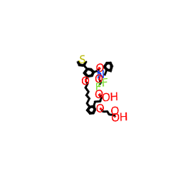 O=C(O)CCCOc1cccc(CCCCCCOc2cc(C(=O)N(Cc3ccccc3)OC(F)F)cc(-c3ccsc3)c2)c1CCC(=O)O